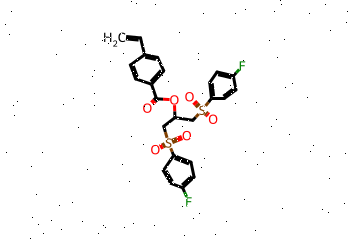 C=Cc1ccc(C(=O)OC(CS(=O)(=O)c2ccc(F)cc2)CS(=O)(=O)c2ccc(F)cc2)cc1